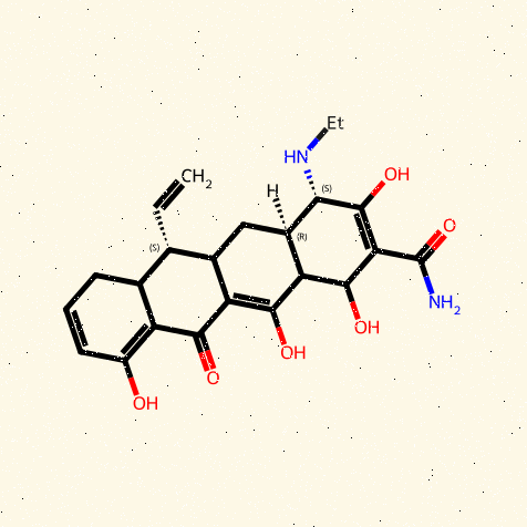 C=C[C@H]1C2CC=CC(O)=C2C(=O)C2=C(O)C3C(O)C(C(N)=O)=C(O)[C@@H](NCC)[C@@H]3CC21